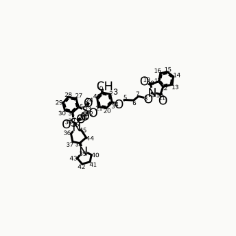 Cc1cc(OCCCON2C(=O)c3ccccc3C2=O)cc(OS(=O)(=O)c2ccccc2S(=O)(=O)N2CCC(N3CCCC3)CC2)c1